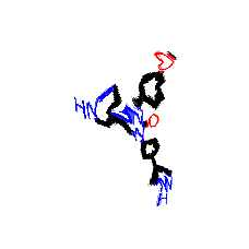 COc1cccc(CN2C(=O)N(c3ccc(-c4cn[nH]c4)cc3)CC23CCNCC3)c1